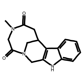 CN1CC(=O)N2Cc3[nH]c4ccccc4c3C(CC1=O)C2